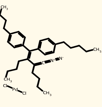 CCCCCc1ccc(C(=C(CCCC)C(=C=[N+]=[N-])CCCC)c2ccc(CCCC)cc2)cc1.[Cl][Pd][Cl]